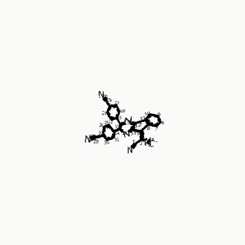 [C-]#[N+]/C(C#N)=C1\c2ccccc2-c2nc(-c3ccc(C#N)cc3)c(-c3ccc(C#N)cc3)nc21